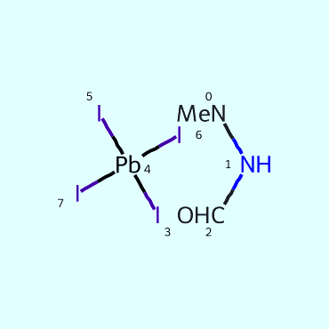 CNNC=O.[I][Pb]([I])([I])[I]